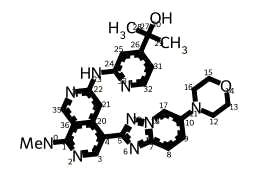 CNc1ncc(-c2nc3ccc(N4CCOCC4)cn3n2)c2cc(Nc3cc(C(C)(C)O)ccn3)ncc12